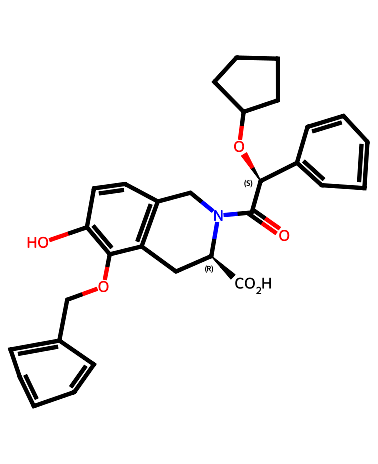 O=C(O)[C@H]1Cc2c(ccc(O)c2OCc2ccccc2)CN1C(=O)[C@@H](OC1CCCC1)c1ccccc1